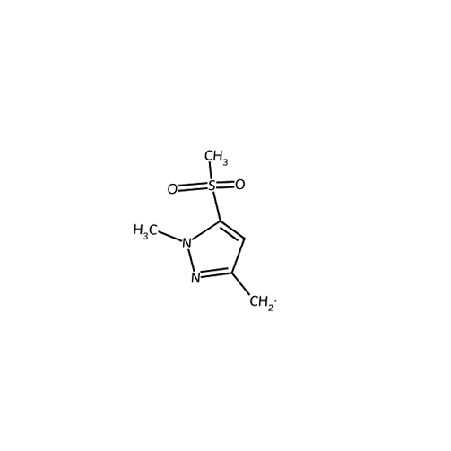 [CH2]c1cc(S(C)(=O)=O)n(C)n1